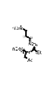 CCCCCCCCCCC(=O)CC.CCCCCCCCCCCCC(C)=O.CCCCCCCCCCCCCC(C)=O